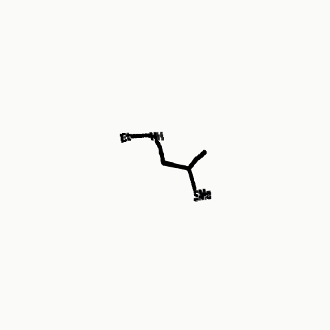 CCNCC(C)SC